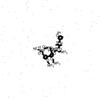 Cc1nc(-c2cccc(OC(C)C)c2)ncc1C(=O)N[C@@H](CCN)C(=O)N(C)[C@@H]1C(=O)N[C@@H](C)C(=O)N[C@H](C(=O)NCC#N)Cc2ccc(OCCN)c(c2)-c2cc1ccc2OCCN